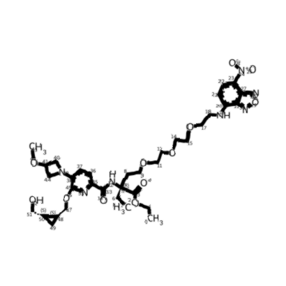 CCOC(=O)[C@@](CC)(CCOCCOCCOCCNc1ccc([N+](=O)[O-])c2nonc12)NC(=O)c1ccc(N2CC(OC)C2)c(OC[C@H]2C[C@@H]2CO)n1